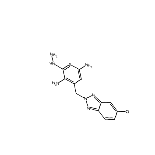 NNc1nc(N)cc(Cn2nc3ccc(Cl)cc3n2)c1N